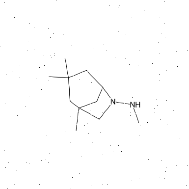 CNN1CC2(C)CC1CC(C)(C)C2